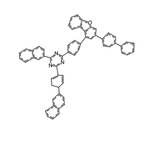 C1=CC(c2ccc3ccccc3c2)CC=C1c1nc(-c2ccc(-c3cc(-c4ccc(-c5ccccc5)cc4)cc4oc5ccccc5c34)cc2)nc(-c2ccc3ccccc3c2)n1